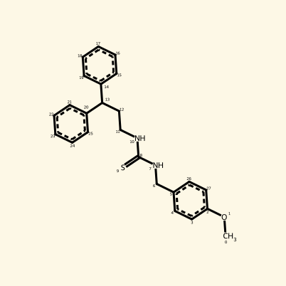 COc1ccc(CNC(=S)NCCC(c2ccccc2)c2ccccc2)cc1